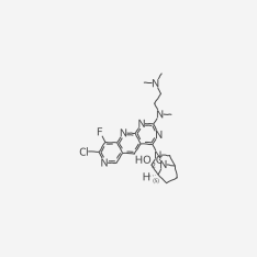 CN(C)CCN(C)c1nc(N2CC3CC[C@@H](C2)N3C(=O)O)c2cc3cnc(Cl)c(F)c3nc2n1